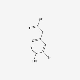 O=C(O)CC(=O)/C=C(/Br)C(=O)O